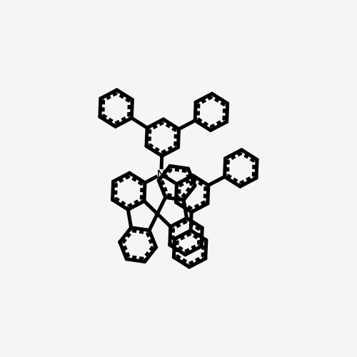 c1ccc(-c2cc(-c3ccccc3)cc(N(c3cc(-c4ccccc4)cc(-c4ccccc4)c3)c3cccc4c3C3(c5ccccc5-c5ccccc53)c3ccccc3-4)c2)cc1